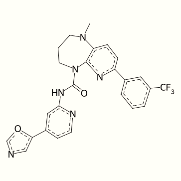 CN1CCCN(C(=O)Nc2cc(-c3cnco3)ccn2)c2nc(-c3cccc(C(F)(F)F)c3)ccc21